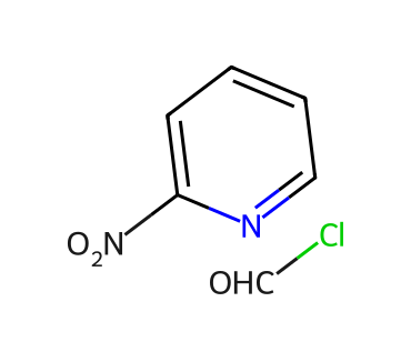 O=CCl.O=[N+]([O-])c1ccccn1